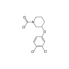 O=C(Cl)N1CCCC(Oc2ccc(Cl)c(Cl)c2)C1